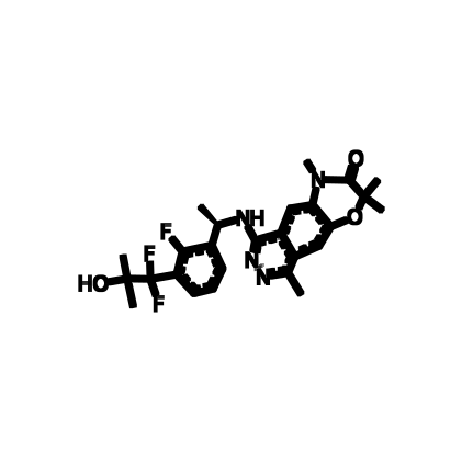 Cc1nnc(N[C@H](C)c2cccc(C(F)(F)C(C)(C)O)c2F)c2cc3c(cc12)OC(C)(C)C(=O)N3C